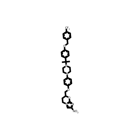 CC(C)(c1ccc(OCc2ccc(C(F)(F)F)cc2)cc1)N1CCN(c2ccc(OCC3CCn4cc([N+](=O)[O-])nc4O3)cc2)CC1